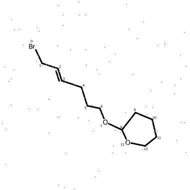 BrCC=CCCCOC1CCCCO1